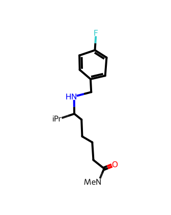 CNC(=O)CCCCC(NCc1ccc(F)cc1)C(C)C